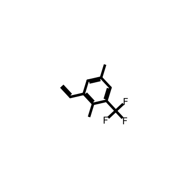 C=Cc1cc(C)cc(C(F)(F)F)c1C